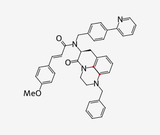 COc1ccc(/C=C/C(=O)N(Cc2ccc(-c3ccccn3)cc2)[C@@H](Cc2ccccc2)C(=O)N2CCN(Cc3ccccc3)CC2)cc1